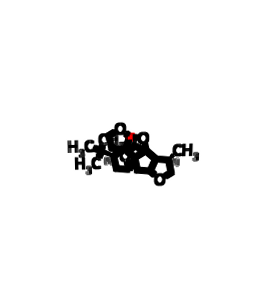 C[C@@H]1COC2CC34C5C[C@@H](C(C)(C)C)C36CCOC6OC4(C(=O)O5)C21